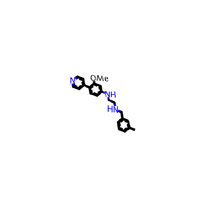 COc1cc(NCCNCc2cccc(C)c2)ccc1-c1ccncc1